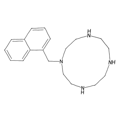 c1ccc2c(CN3CCNCCNCCNCC3)cccc2c1